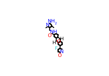 COc1cc(F)c(-c2ccc3c(c2)[C@H]2O[C@@H]3c3ccc(C(=O)NCc4c(C)cc(N)nc4C)cc32)cn1